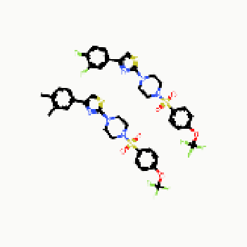 Cc1ccc(-c2csc(N3CCN(S(=O)(=O)c4ccc(OC(F)(F)F)cc4)CC3)n2)cc1C.O=S(=O)(c1ccc(OC(F)(F)F)cc1)N1CCN(c2nc(-c3ccc(F)c(F)c3)cs2)CC1